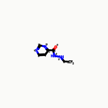 O=C(NNCC(F)(F)F)c1ccncn1